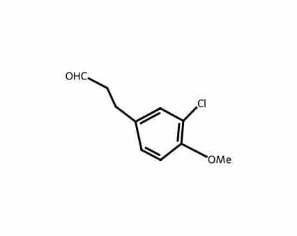 COc1ccc(CCC=O)cc1Cl